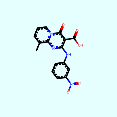 Cc1cccn2c(=O)c(C(=O)O)c(Nc3cccc([N+](=O)[O-])c3)nc12